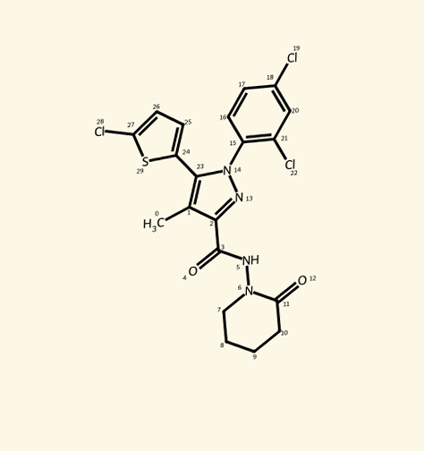 Cc1c(C(=O)NN2CCCCC2=O)nn(-c2ccc(Cl)cc2Cl)c1-c1ccc(Cl)s1